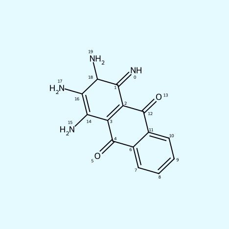 N=C1C2=C(C(=O)c3ccccc3C2=O)C(N)=C(N)C1N